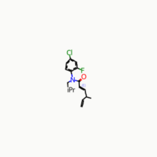 C=CC(C)/C=C/C(=O)N(CC(C)C)c1ccc(Cl)cc1F